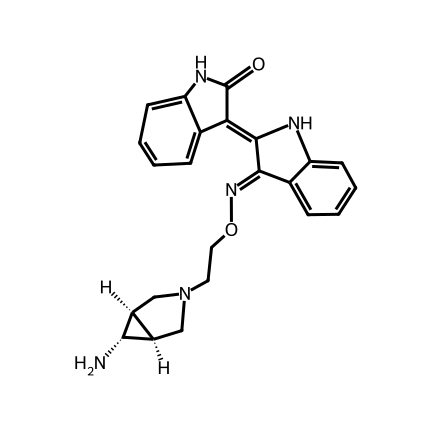 N[C@@H]1[C@H]2CN(CCO/N=C3/C(=C4/C(=O)Nc5ccccc54)Nc4ccccc43)C[C@@H]12